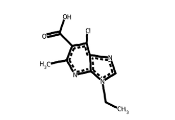 CCn1cnc2c(Cl)c(C(=O)O)c(C)nc21